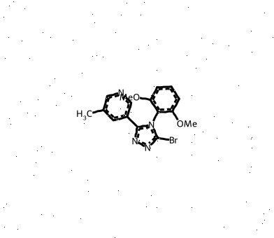 COc1cccc(OC)c1-n1c(Br)nnc1-c1cncc(C)c1